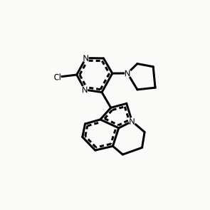 Clc1ncc(N2CCCC2)c(-c2cn3c4c(cccc24)CCC3)n1